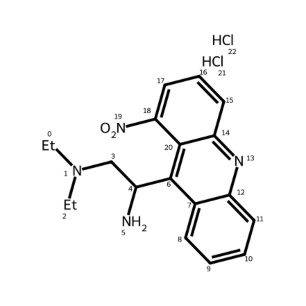 CCN(CC)CC(N)c1c2ccccc2nc2cccc([N+](=O)[O-])c12.Cl.Cl